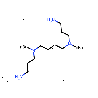 CCCCN(CCCN)CCCCN(CCCC)CCCN